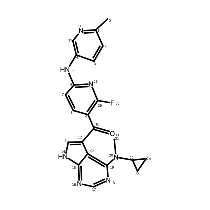 Cc1ccc(Nc2ccc(C(=O)c3c[nH]c4ncnc(N(C)C5CC5)c34)c(F)n2)cn1